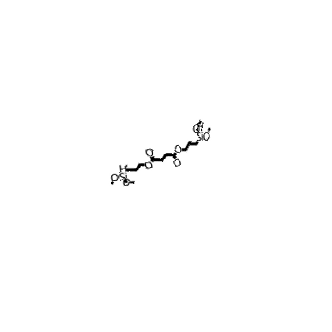 CO[SiH](CCCOC(=O)CCC(=O)OCCC[SiH](OC)OC)OC